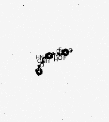 COc1cc(F)c(C(OC)C(=O)NCc2ccc(C(=N)NC(=O)OCc3ccccc3)cc2)c(F)c1